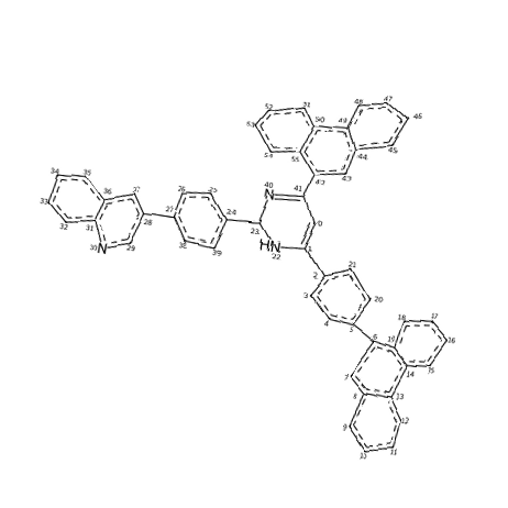 C1=C(c2ccc(-c3cc4ccccc4c4ccccc34)cc2)NC(c2ccc(-c3cnc4ccccc4c3)cc2)N=C1c1cc2ccccc2c2ccccc12